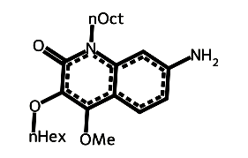 CCCCCCCCn1c(=O)c(OCCCCCC)c(OC)c2ccc(N)cc21